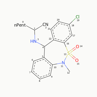 CCCCCC(C#N)NC1c2ccccc2N(C)S(=O)(=O)c2cc(Cl)ccc21